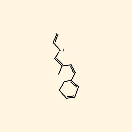 C=CN/C=C(C)\C=C/C1=CC=CCC1